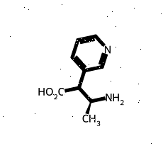 C[C@H](N)C(C(=O)O)c1cccnc1